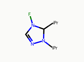 CC(C)C1N(F)C=NN1C(C)C